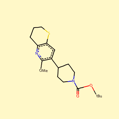 COc1nc2c(cc1C1CCN(C(=O)OC(C)(C)C)CC1)SCCC2